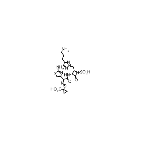 NCCCc1cnn(C[C@@H]2[C@H](NC(=O)/C(=N\OC3(C(=O)O)CC3)c3csc(N)n3)C(=O)N2S(=O)(=O)O)n1